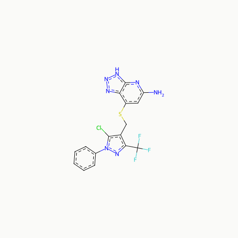 Nc1cc(SCc2c(C(F)(F)F)nn(-c3ccccc3)c2Cl)c2nn[nH]c2n1